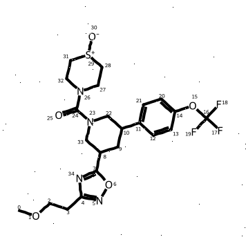 COCCc1noc(C2CC(c3ccc(OC(F)(F)F)cc3)CN(C(=O)N3CC[S+]([O-])CC3)C2)n1